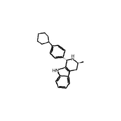 C[C@H]1Cc2c([nH]c3ccccc23)[C@H](c2ccc(C3CCCCC3)cc2)N1